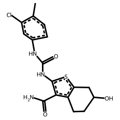 Cc1ccc(NC(=O)Nc2sc3c(c2C(N)=O)CCC(O)C3)cc1Cl